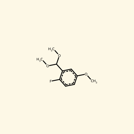 COc1ccc(F)c(C(OC)OC)c1